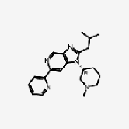 CC(C)Cc1nc2cnc(-c3ccccn3)cc2n1[C@@H]1CCCN(C)C1